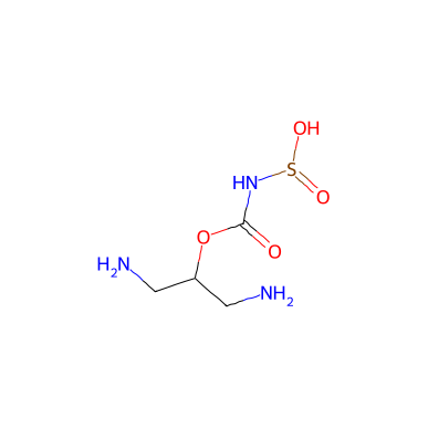 NCC(CN)OC(=O)NS(=O)O